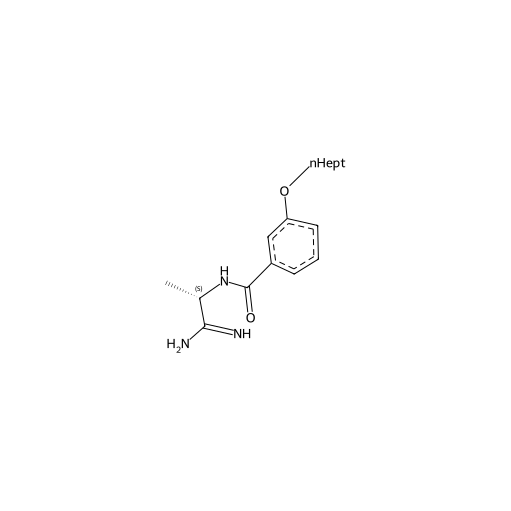 CCCCCCCOc1cccc(C(=O)N[C@@H](C)C(=N)N)c1